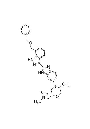 CC1COC(CN(C)C)CN1c1ccc2nc(-c3n[nH]c4c(COCc5ccccc5)cccc34)[nH]c2c1